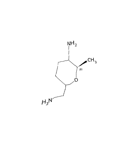 C[C@H]1OC(CN)CCC1N